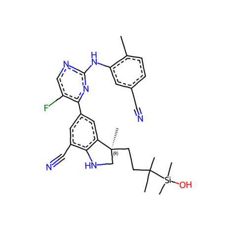 Cc1ccc(C#N)cc1Nc1ncc(F)c(-c2cc(C#N)c3c(c2)[C@@](C)(CCC(C)(C)[Si](C)(C)O)CN3)n1